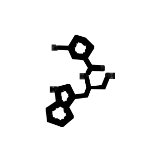 O=C(N[C@@H](CO)Cc1c[nH]c2ccccc12)c1cccc(Br)c1